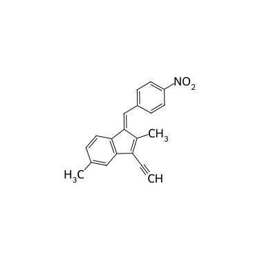 C#CC1=C(C)C(=Cc2ccc([N+](=O)[O-])cc2)c2ccc(C)cc21